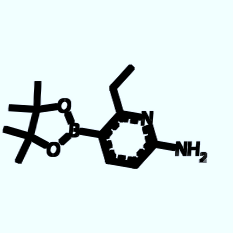 CCc1nc(N)ccc1B1OC(C)(C)C(C)(C)O1